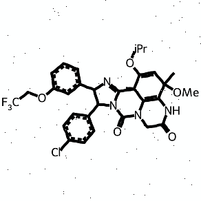 COC1(C)C=C(OC(C)C)C2(C)C3=NC(c4cccc(OCC(F)(F)F)c4)C(c4ccc(Cl)cc4)N3C(=O)N3CC(=O)NC1=C32